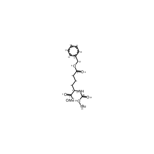 COC(=O)C(CCCC(=O)OCc1ccccc1)NC(=O)OC(C)(C)C